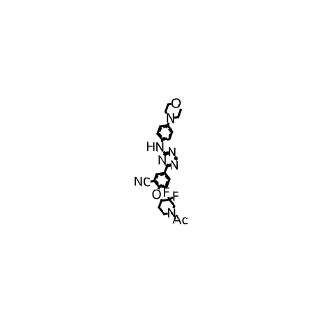 CC(=O)N1CCC(Oc2ccc(-c3ncnc(Nc4ccc(N5CCOCC5)cc4)n3)cc2C#N)C(F)(F)C1